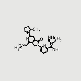 CCN(C=N)C(=N)c1cccc(N2Cc3c(cc(N4CCC[C@H]4C)nc3CNC)C2=O)n1